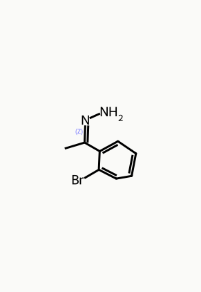 C/C(=N/N)c1ccccc1Br